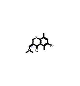 Cc1cc(Br)c(C)c2c1SC/C(=C/N(C)C)C2=O